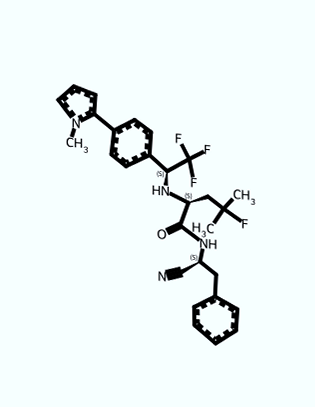 Cn1cccc1-c1ccc([C@H](N[C@@H](CC(C)(C)F)C(=O)N[C@H](C#N)Cc2ccccc2)C(F)(F)F)cc1